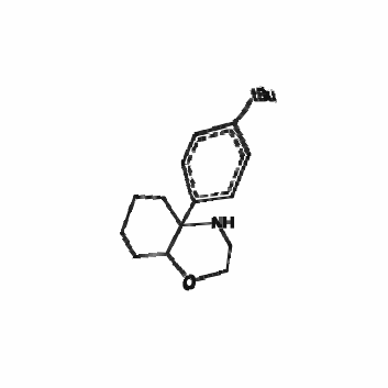 CC(C)(C)c1ccc(C23CCCCC2OCCN3)cc1